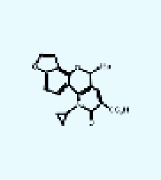 CC(C)(C)[C@@H]1Oc2c(ccc3occc23)-c2c1cc(C(=O)O)c(=O)n2C1CC1